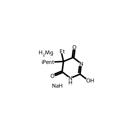 CCCC(C)C1(CC)C(=O)N=C(O)NC1=O.[MgH2].[NaH]